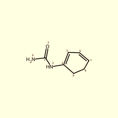 NC(=O)NC1=CC=CCC1